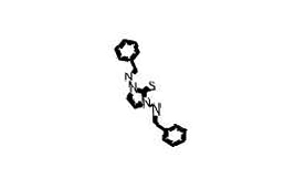 S=c1n(/N=C/c2ccccc2)ccn1/N=C/c1ccccc1